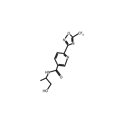 CC(CO)NC(=O)c1ccc(-c2noc(C(F)(F)F)n2)nc1